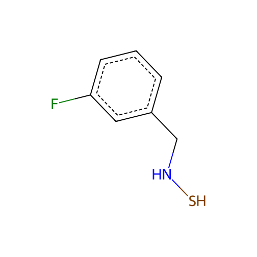 Fc1cccc(CNS)c1